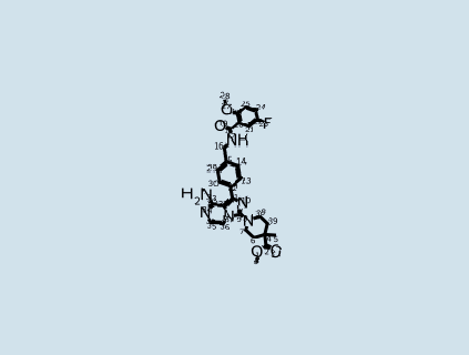 COC(=O)C1(C)CCN(c2nc(-c3ccc(CNC(=O)c4cc(F)ccc4OC)cc3)c3c(N)nccn23)CC1